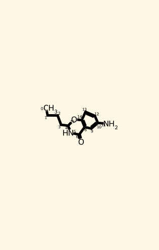 CCCCC1NC(=O)c2cc(N)ccc2O1